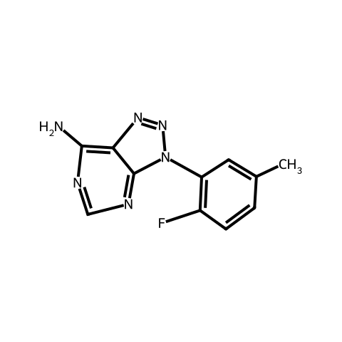 Cc1ccc(F)c(-n2nnc3c(N)ncnc32)c1